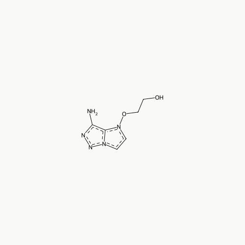 Nc1nnn2ccn(OCCO)c12